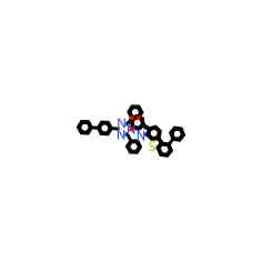 c1ccc(-c2ccc(-c3nc(-c4ccccc4)nc(-c4ccccc4-n4c5ccccc5c5ccc6c(sc7cccc(-c8ccccc8)c76)c54)n3)cc2)cc1